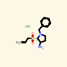 C=CCS(=O)(=O)[C@H]1C(N)CCN1Cc1ccccc1.Cl